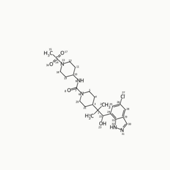 CC(C)(C1CCN(C(=O)NC2CCN(S(C)(=O)=O)CC2)CC1)C(O)c1cc(Cl)cc2cn[nH]c12